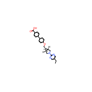 CCc1cnc(N2C[C@@H]3[C@@H](COc4ccc(-c5ccc(C(=O)O)cc5)cc4)[C@@H]3C2)nc1